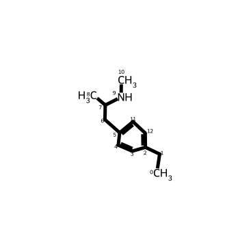 CCc1ccc(CC(C)NC)cc1